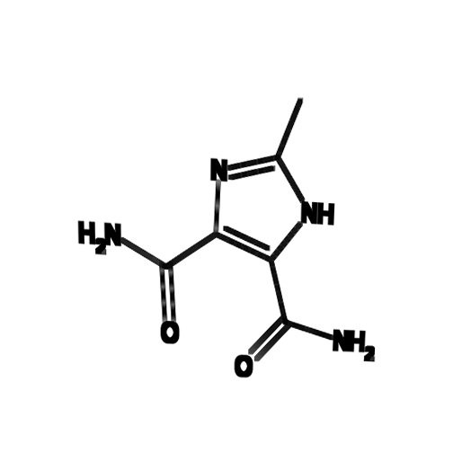 Cc1nc(C(N)=O)c(C(N)=O)[nH]1